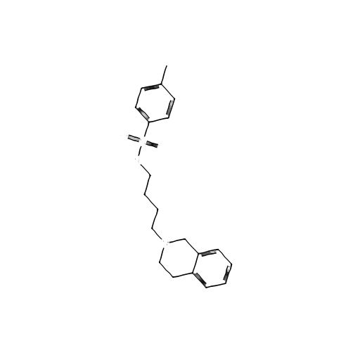 Cc1ccc(S(=O)(=O)NCCCCN2CCc3ccccc3C2)cc1.Cl